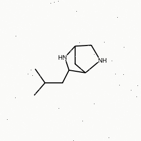 CC(C)CC1NC2CNC1C2